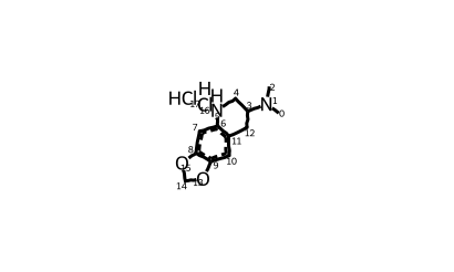 CN(C)C1CNc2cc3c(cc2C1)OCO3.Cl.Cl